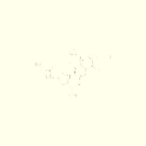 CC(C)(C)OC(=O)N[C@H]1CC(CO)N(c2c(F)cc3c(=O)c(C(=O)O)cn(C4CC4)c3c2F)C1